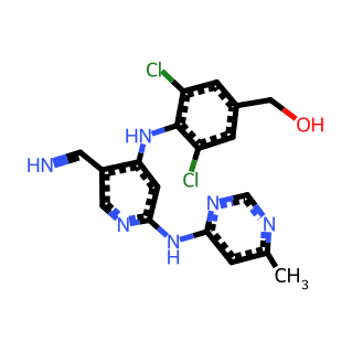 Cc1cc(Nc2cc(Nc3c(Cl)cc(CO)cc3Cl)c(C=N)cn2)ncn1